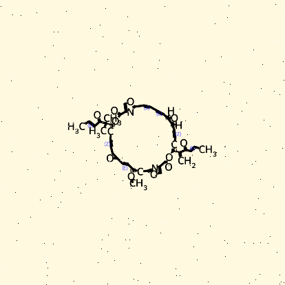 C=C(C(=O)/C=C/C)[C@@H]1C/C=C\[C@H]2O[C@H]2/C=C/C=C\c2nc(co2)C(=O)O[C@H](C(C)(C)C(=O)/C=C/C)C/C=C\C2OC2/C=C/[C@H](OC)Cc2nc(co2)C(=O)O1